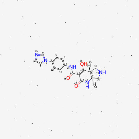 O=C(Nc1ccc(-n2ccnc2)cc1)C1=C(O)[C@@H]2CNC[C@H]2NC1=O